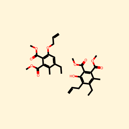 C=CCOc1cc(CC)c(C)c(C(=O)OC)c1C(=O)OC.C=CCc1c(O)c(C(=O)OC)c(C(=O)OC)c(C)c1CC